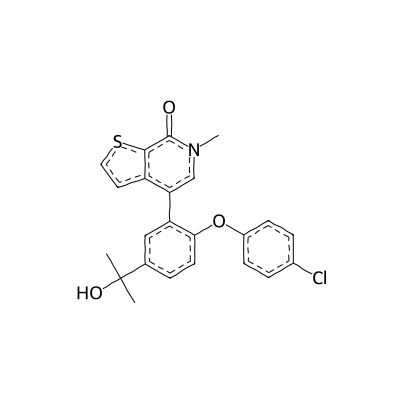 Cn1cc(-c2cc(C(C)(C)O)ccc2Oc2ccc(Cl)cc2)c2ccsc2c1=O